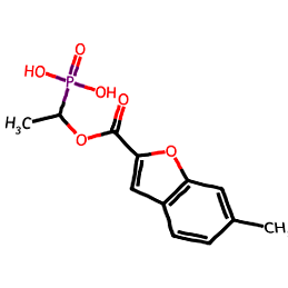 Cc1ccc2cc(C(=O)OC(C)P(=O)(O)O)oc2c1